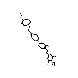 CCC[C@H]1CC[C@H](CCC2CCC(c3ccc(CCc4cc(F)c(Cl)c(F)c4)c(F)c3)CC2)CC1